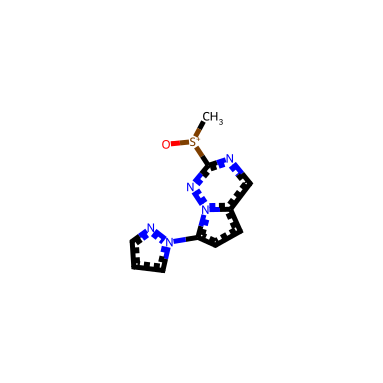 C[S+]([O-])c1ncc2ccc(-n3cccn3)n2n1